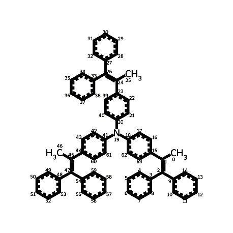 CC(=C(c1ccccc1)c1ccccc1)c1ccc(N(c2ccc(C(C)=C(c3ccccc3)c3ccccc3)cc2)c2ccc(C(C)=C(c3ccccc3)c3ccccc3)cc2)cc1